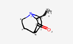 CC(C)C1C(=O)C2CCN1CC2